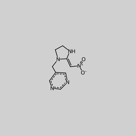 O=[N+]([O-])C=C1NCCN1Cc1cncnc1